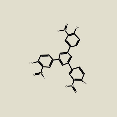 O=[N+]([O-])c1cc(-c2cc(-c3ccc(O)c([N+](=O)[O-])c3)cc(-c3ccc(O)c([N+](=O)[O-])c3)c2)ccc1O